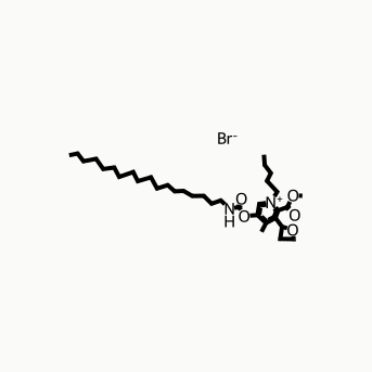 CCCCCCCCCCCCCCCCCCNC(=O)Oc1c[n+](CCCCC)c(C(=O)OC)c(C2CCO2)c1C.[Br-]